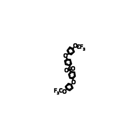 O=S(=O)(c1ccc(Oc2ccc(OC(F)(F)F)cc2)cc1)c1ccc(Oc2ccc(OC(F)(F)F)cc2)cc1